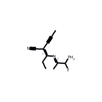 CC#C/C(C#N)=C(CC)\N=C(/C)C(F)P